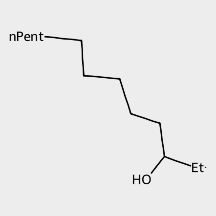 C[CH]C(O)CCCCCCCCCC